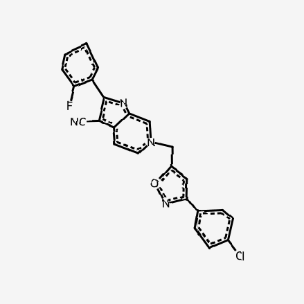 N#Cc1c2ccn(Cc3cc(-c4ccc(Cl)cc4)no3)cc-2nc1-c1ccccc1F